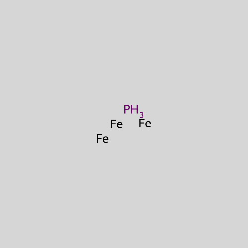 P.[Fe].[Fe].[Fe]